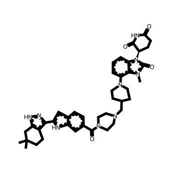 Cn1c(=O)n([C@@H]2CCC(=O)NC2=O)c2cccc(N3CCC(CN4CCN(C(=O)c5ccc6cc(-c7n[nH]c8c7CCC(C)(C)C8)[nH]c6c5)CC4)CC3)c21